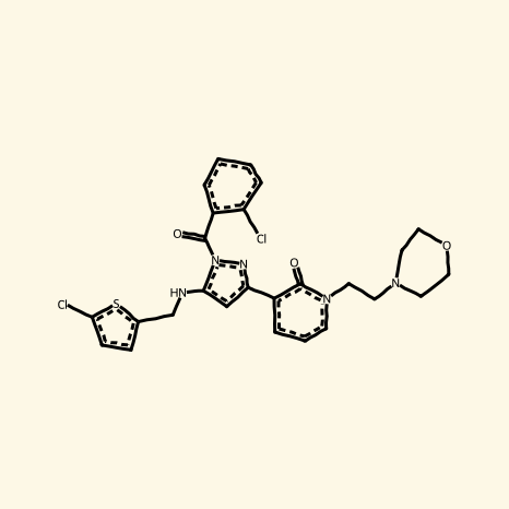 O=C(c1ccccc1Cl)n1nc(-c2cccn(CCN3CCOCC3)c2=O)cc1NCc1ccc(Cl)s1